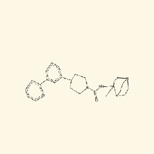 CC1(NC(=O)N2CCC(c3cccc(-c4ccccc4)c3)CC2)CCN2CCC1CC2